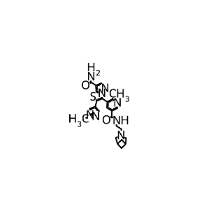 Cc1ncc(C(=O)NCCN2CC3CC(C3)C2)cc1-c1c(-c2cnn(C)c2)sc2c(C(N)=O)cnn12